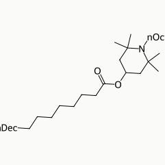 CCCCCCCCCCCCCCCCCC(=O)OC1CC(C)(C)N(CCCCCCCC)C(C)(C)C1